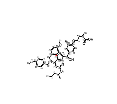 CCCC(C)Oc1nc(N(Cc2ccc(OC)cc2)Cc2ccc(OC)cc2)c2ncc(C(O)c3ccc(OCCN(C)C(=O)O)c(F)c3)n2n1